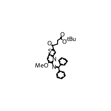 COc1cc2sc(C(=O)CCC(=O)OC(C)(C)C)cc2nc1N=C(c1ccccc1)c1ccccc1